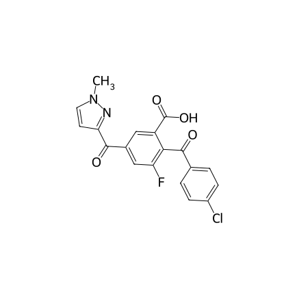 Cn1ccc(C(=O)c2cc(F)c(C(=O)c3ccc(Cl)cc3)c(C(=O)O)c2)n1